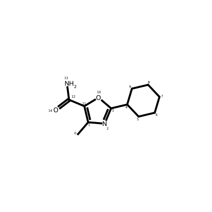 Cc1nc(C2CCCCC2)oc1C(N)=O